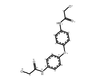 O=C(CCl)Nc1ccc(Oc2ccc(NC(=O)CCl)cc2)cc1